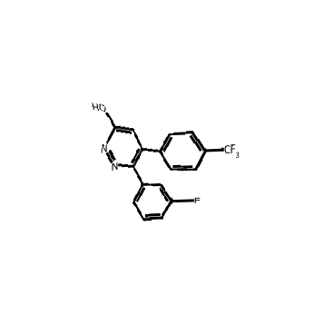 Oc1cc(-c2ccc(C(F)(F)F)cc2)c(-c2cccc(F)c2)nn1